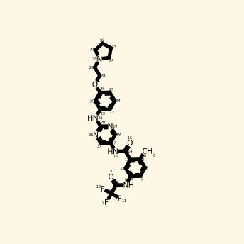 Cc1ccc(NC(=O)C(F)(F)F)cc1C(=O)Nc1cnc(Nc2cccc(OCCN3CCCC3)c2)nc1